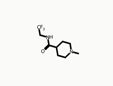 CN1CCC(C(=O)NCC(F)(F)F)CC1